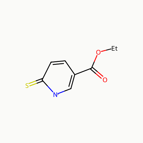 CCOC(=O)C1=C[N]C(=S)C=C1